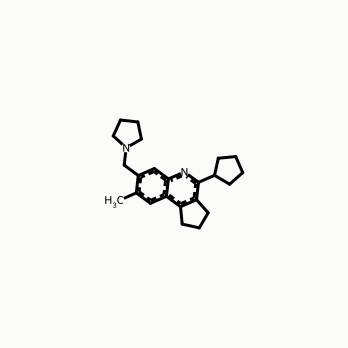 Cc1cc2c3c(c(C4CCCC4)nc2cc1CN1CCCC1)CCC3